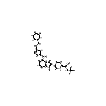 CC(C)(C)OC(=O)N1CC=C(c2cc3c(Nc4cnn(CCc5ccccc5)c4)ccnc3[nH]2)CC1